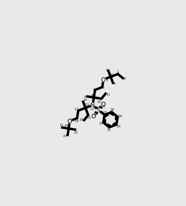 CCC(C)(C)OCCC(C)(CC)N(C(C)(CC)CCOC(C)(C)C)S(=O)(=O)c1ccccc1